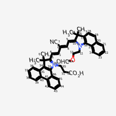 CC1(C)C(/C=C/C(C#N)=C/C=C2\N(CCOC=O)c3c(ccc4ccccc34)C2(C)C)=[N+](CCC(=O)O)c2c1c1ccccc1c1ccccc21